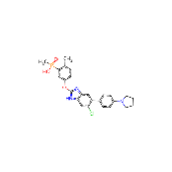 Cc1ccc(Oc2nc3cc(-c4ccc(N5CCCC5)cc4)c(Cl)cc3[nH]2)cc1P(C)(=O)O